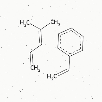 C=CC=C(C)C.C=Cc1ccccc1